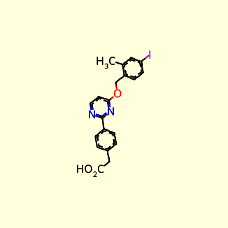 Cc1cc(I)ccc1COc1ccnc(-c2ccc(CC(=O)O)cc2)n1